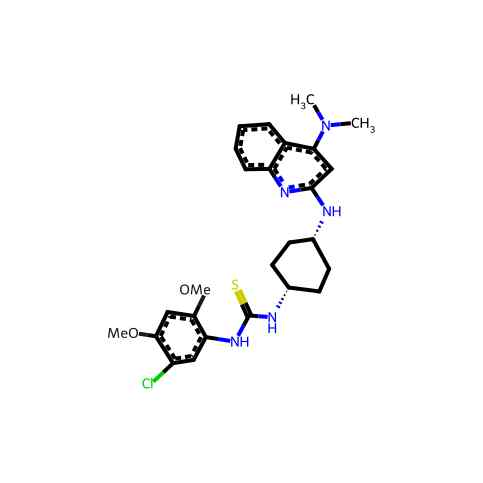 COc1cc(OC)c(NC(=S)N[C@H]2CC[C@@H](Nc3cc(N(C)C)c4ccccc4n3)CC2)cc1Cl